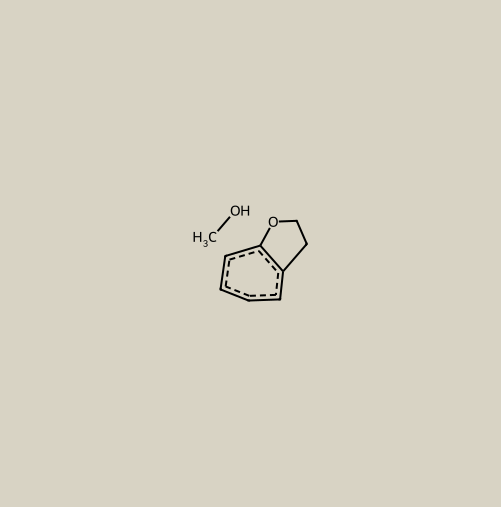 CO.c1ccc2c(c1)CCO2